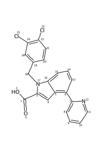 O=C(O)c1cc2c(-c3ccccn3)cccc2n1Cc1ccc(Cl)c(Cl)c1